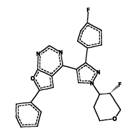 Fc1ccc(-c2nn(C3CCOC[C@H]3F)cc2-c2ncnc3oc(-c4ccccc4)cc23)cc1